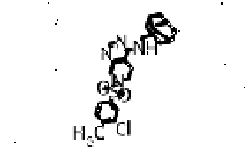 Cc1ccc(S(=O)(=O)N2CCc3c(ncnc3NCC34CC5CC(CC(C5)C3)C4)C2)cc1Cl